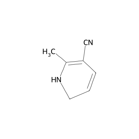 CC1=C(C#N)C=CCN1